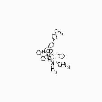 CCC[C@H](C(N)=O)[C@@H](CC1CCCC1)C(=O)NC1C(=O)N(Cc2cccc(-c3ccc(C)cc3)c2)c2ccccc2-c2ccccc21